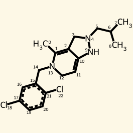 CC1=C2CN(CC(C)C)NC2=CCN1Cc1cc(Cl)ccc1Cl